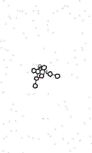 c1ccc(-c2ccc(-c3cc4c(oc5cccc(N(c6ccccc6)c6ccc(-c7ccccc7)cc6)c54)c4ccccc34)cc2)cc1